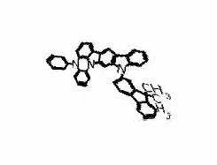 CC1(C)c2ccccc2-c2ccc(-n3c4ccccc4c4cc5c6cccc7c6n(c5cc43)-c3ccccc3N7c3ccccc3)cc21